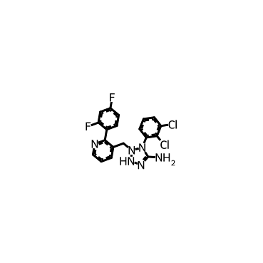 NC1=NNN(Cc2cccnc2-c2ccc(F)cc2F)N1c1cccc(Cl)c1Cl